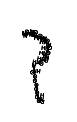 CC(=O)Nc1cccc(OCCOCCOCCOCCOCCOCCC(=O)NCCCN(C)CCCNC(=O)CCNC(=O)c2nc(NC(=O)CCNC(=O)c3cc(NC(=O)c4nc(NC(=O)CCNC(=O)c5cc(NC(=O)c6nccn6C)cn5C)cn4C)cn3C)cn2C)c1